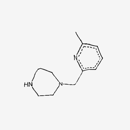 Cc1cccc(CN2CCNCC2)n1